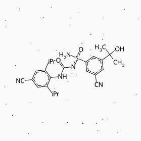 CC(C)c1cc(C#N)cc(C(C)C)c1NC(=O)N=S(N)(=O)c1cc(C#N)cc(C(C)(C)O)c1